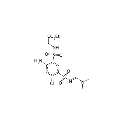 CCOC(=O)CNS(=O)(=O)c1cc(S(=O)(=O)N=CN(C)C)c(Cl)cc1N